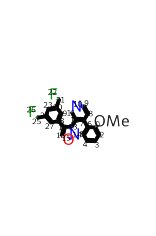 COc1ccccc1-c1ccncc1-c1nocc1-c1cc(CF)cc(CF)c1